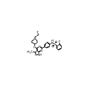 Cc1n[nH]c2nc(-c3ccc(NS(=O)(=O)c4ccccc4F)cc3)nc(OC3CCN(CCF)CC3)c12